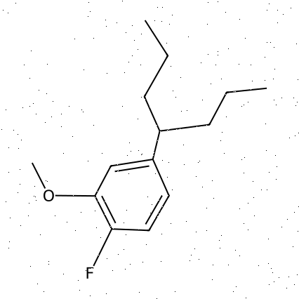 CCCC(CCC)c1ccc(F)c(OC)c1